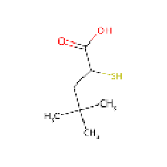 CC(C)(C)CC(S)C(=O)O